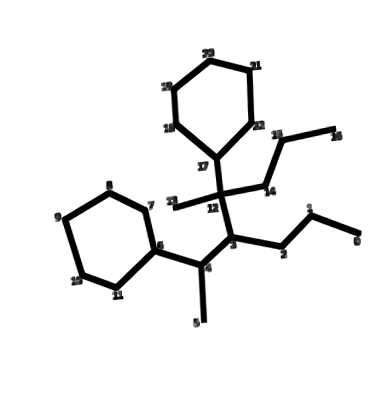 CCCC(C(C)C1CCCCC1)C(C)(CCC)C1CCCCC1